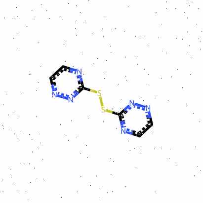 c1cnc(SSc2nccnn2)nn1